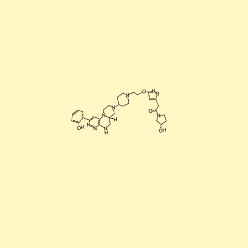 O=C(Cc1cc(OCCN2CCC(N3CCN4c5cc(-c6ccccc6O)nnc5NC[C@H]4C3)CC2)no1)N1CC[C@@H](O)C1